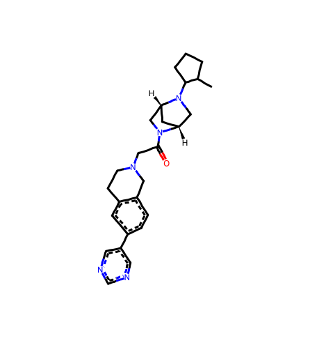 CC1CCCC1N1C[C@H]2C[C@@H]1CN2C(=O)CN1CCc2cc(-c3cncnc3)ccc2C1